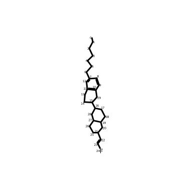 CCCCCCCc1ccc2c(c1)CCC(C1CCC3CC(C=CF)CCC3C1)C2